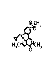 Cc1cc2c(=O)n(C)cc(-c3cc(S(C)(=O)=O)ccc3OCC3CC3)c2o1